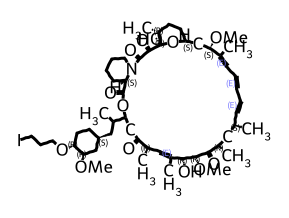 CO[C@H]1C[C@@H]2CC[C@@H](C)[C@@](O)(O2)C(=O)C(=O)N2CCCC[C@H]2C(=O)OC(C(C)C[C@@H]2CC[C@@H](OCCCI)[C@H](OC)C2)CC(=O)[C@H](C)/C=C(\C)[C@@H](O)[C@@H](OC)C(=O)[C@H](C)C[C@H](C)/C=C/C=C/C=C/1C